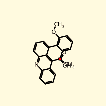 COc1cccc(OC)c1-c1cccc2nc3ccccc3c(C(=O)O)c12